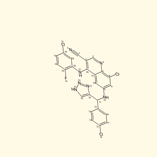 N#Cc1cnc2c(Cl)cc(NC(c3ccc(Cl)cc3)c3c[nH]nn3)cc2c1Nc1cc(Cl)ccc1F